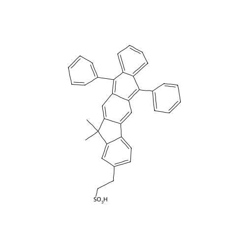 CC1(C)c2cc(CCS(=O)(=O)O)ccc2-c2cc3c(-c4ccccc4)c4ccccc4c(-c4ccccc4)c3cc21